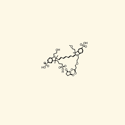 COCCC1(C)\C(=C/C=C/C=C/C=C/C2(C)N(CCO)c3ccc(S(=O)(=O)O)cc3C2(C)CCCS(=O)(=O)O)N(CCOCCC(=O)ON2C(=O)CCC2=O)c2ccc(S(=O)(=O)O)cc21